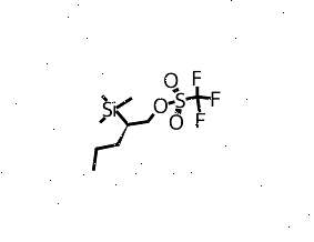 CCC[C@H](COS(=O)(=O)C(F)(F)F)[Si](C)(C)C